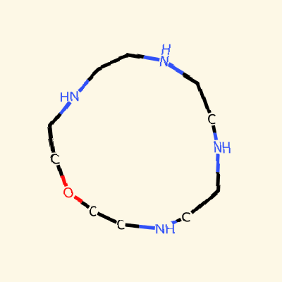 C1CNCCNCCOCCNCCN1